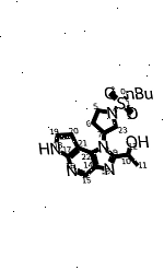 CCCCS(=O)(=O)N1CCC(n2c(C(C)O)nc3cnc4[nH]ccc4c32)C1